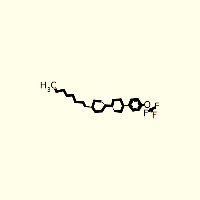 CCCCCCCC[C@H]1CC[C@H]([C@H]2CC[C@H](c3ccc(OC(F)(F)F)cc3)CC2)CC1